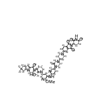 COc1ncc(N2CCC[C@@H](N3CCn4c(cc5c4CC(C)(C)C5)C3=O)[C@H]2CO)cc1Nc1ccc(N2CCN(C3CCN(c4ccc5c(c4)C(=O)N(C4CCC(=O)NC4=O)C5=O)CC3)C[C@@H]2C)cn1